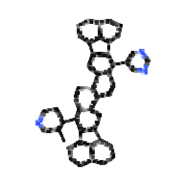 Cc1cnccc1-c1c2c(cc3c1ccc1c4cc5c(c(-c6cncnc6)c4ccc31)-c1cccc3cccc-5c13)-c1cccc3cccc-2c13